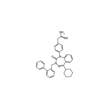 N=C(N)Cc1ccc(N2C(=O)N(Cc3ccccc3-c3ccccc3)N=C(C3CCCCC3)c3ccccc32)cc1